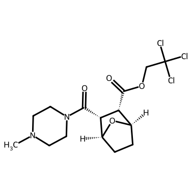 CN1CCN(C(=O)[C@@H]2[C@H](C(=O)OCC(Cl)(Cl)Cl)[C@H]3CC[C@@H]2O3)CC1